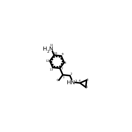 CC(CNC1CC1)c1ccc(N)cc1